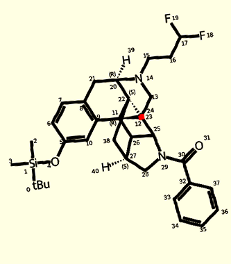 CC(C)(C)[Si](C)(C)Oc1ccc2c(c1)[C@]13CCN(CCC(F)F)[C@H](C2)[C@]12CCC1C3[C@@H](CN1C(=O)c1ccccc1)C2